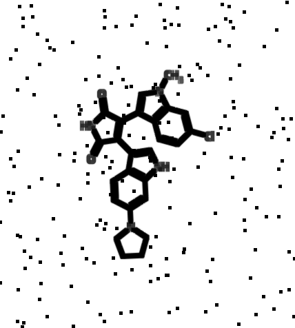 Cn1cc(C2=C(c3c[nH]c4cc(N5CCCC5)ccc34)C(=O)NC2=O)c2ccc(Cl)cc21